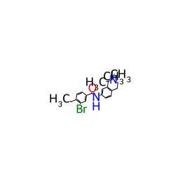 CCc1ccc(C(=O)Nc2ccc3c(c2)C(C)(C)N(C)CC3)cc1Br